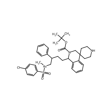 C[As](CC(CCC1c2ccccc2C2(CCNCC2)CN1C(=O)OC(C)(C)C)c1ccccc1)S(=O)(=O)c1ccc(Cl)cc1